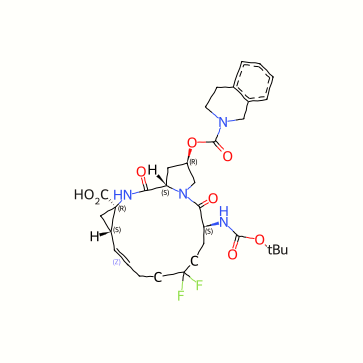 CC(C)(C)OC(=O)N[C@H]1CCC(F)(F)CC/C=C\[C@@H]2C[C@@]2(C(=O)O)NC(=O)[C@@H]2C[C@@H](OC(=O)N3CCc4ccccc4C3)CN2C1=O